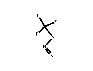 FC(F)(F)SN=S